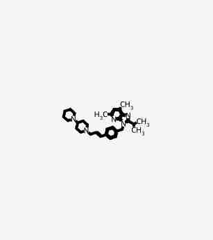 Cc1cc(C)c2nc(C(C)C)n(Cc3ccc(C=CCN4CCC(N5CCCCC5)CC4)cc3)c2n1